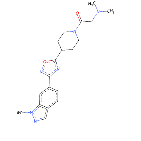 CC(C)n1ncc2ccc(-c3noc(C4CCN(C(=O)CN(C)C)CC4)n3)cc21